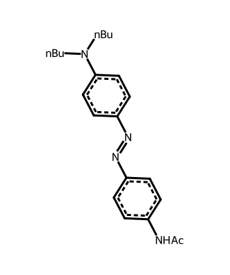 CCCCN(CCCC)c1ccc(N=Nc2ccc(NC(C)=O)cc2)cc1